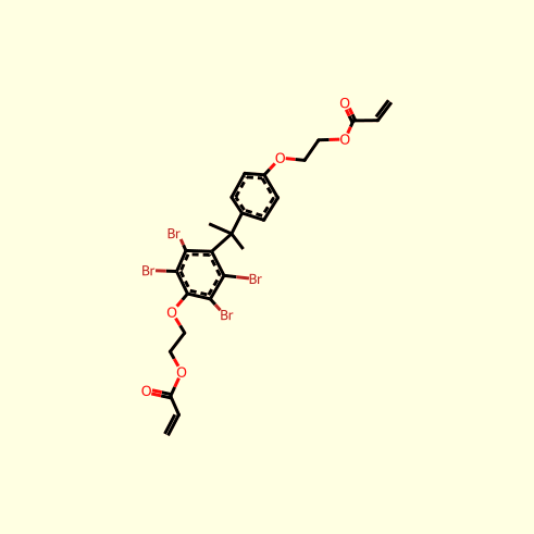 C=CC(=O)OCCOc1ccc(C(C)(C)c2c(Br)c(Br)c(OCCOC(=O)C=C)c(Br)c2Br)cc1